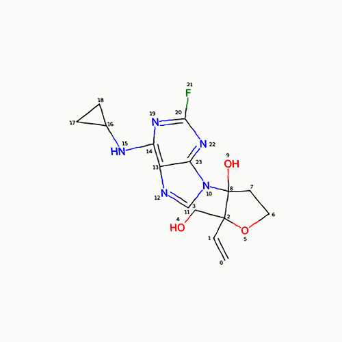 C=CC1(CO)OCCC1(O)n1cnc2c(NC3CC3)nc(F)nc21